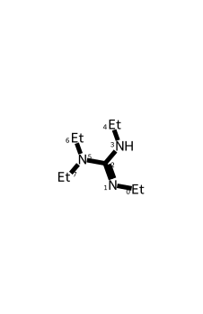 CC/N=C(\NCC)N(CC)CC